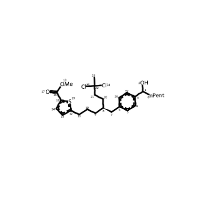 CCCCCC(O)c1ccc(C[C@@H](CCCc2ccc(C(=O)OC)s2)CCC(C)(Cl)Cl)cc1